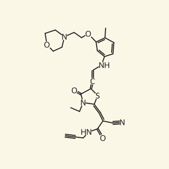 C#CCNC(=O)C(=C=c1sc(=C=CNc2ccc(C)c(OCCN3CCOCC3)c2)c(=O)n1CC)C#N